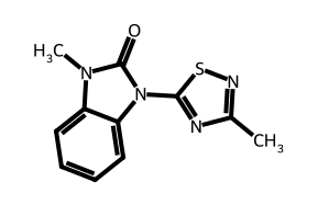 Cc1nsc(-n2c(=O)n(C)c3ccccc32)n1